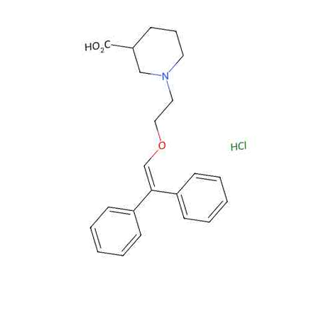 Cl.O=C(O)C1CCCN(CCOC=C(c2ccccc2)c2ccccc2)C1